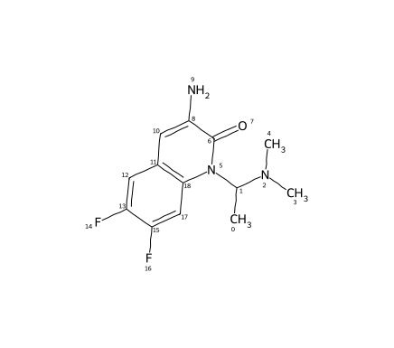 CC(N(C)C)n1c(=O)c(N)cc2cc(F)c(F)cc21